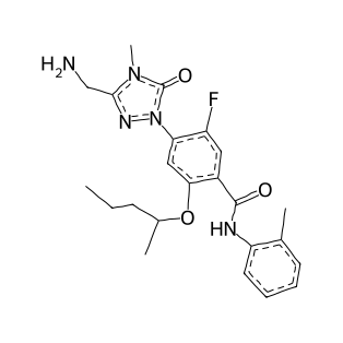 CCCC(C)Oc1cc(-n2nc(CN)n(C)c2=O)c(F)cc1C(=O)Nc1ccccc1C